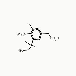 COc1c(C)cc(CC(=O)O)cc1C(C)(C)CC(C)(C)C